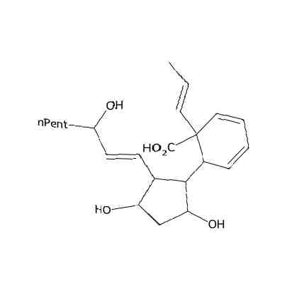 CC=CC1(C(=O)O)C=CC=CC1C1C(O)CC(O)C1C=CC(O)CCCCC